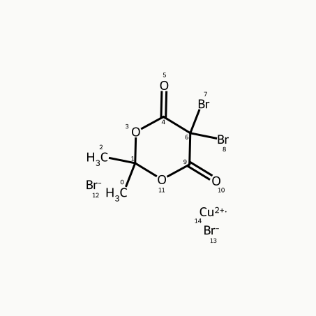 CC1(C)OC(=O)C(Br)(Br)C(=O)O1.[Br-].[Br-].[Cu+2]